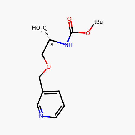 CC(C)(C)OC(=O)N[C@H](COCc1cccnc1)C(=O)O